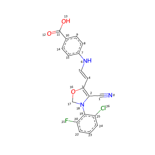 N#CC1=C(C=CNc2ccc(C(=O)O)cc2)OCN1c1c(F)cccc1Cl